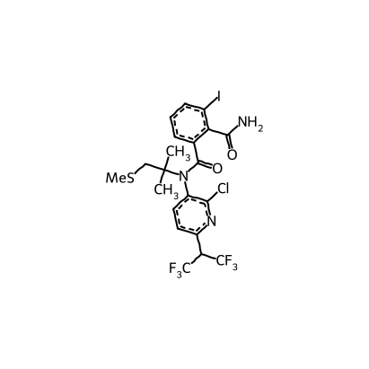 CSCC(C)(C)N(C(=O)c1cccc(I)c1C(N)=O)c1ccc(C(C(F)(F)F)C(F)(F)F)nc1Cl